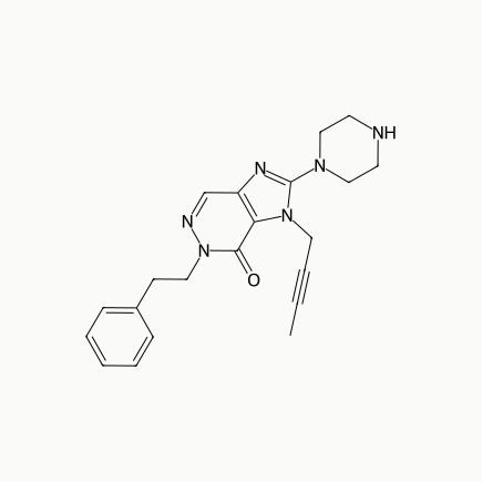 CC#CCn1c(N2CCNCC2)nc2cnn(CCc3ccccc3)c(=O)c21